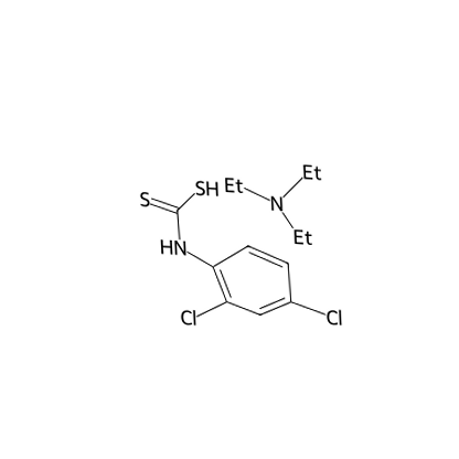 CCN(CC)CC.S=C(S)Nc1ccc(Cl)cc1Cl